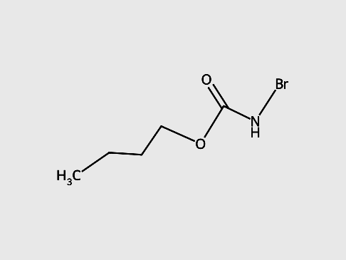 CCCCOC(=O)NBr